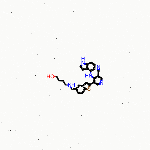 N#Cc1cncc(-c2cc3cc(CNCCCCO)ccc3s2)c1Nc1cccc2[nH]ccc12